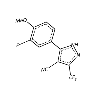 COc1ccc(-c2[nH]nc(C(F)(F)F)c2C#N)cc1F